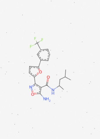 CC(C)CC(C)NC(=O)c1c(-c2ccc(-c3cccc(C(F)(F)F)c3)o2)noc1N